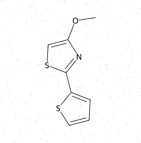 COc1csc(-c2cccs2)n1